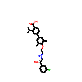 Cc1cc(-c2ccc(C(=O)O)c(C(C)C)c2)cc(C)c1OCCNC[C@H](O)c1cccc(Cl)c1